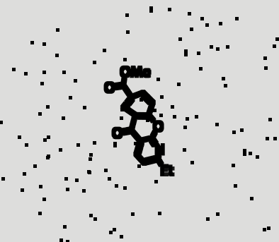 CCc1ccc2c(=O)c3cc(C(=O)OC)ccc3oc2n1